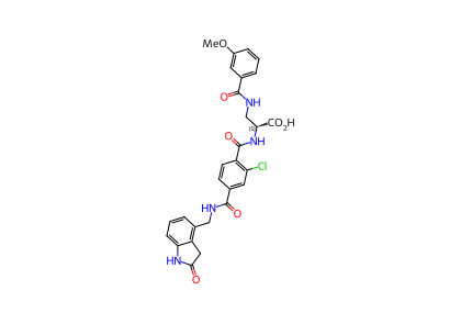 COc1cccc(C(=O)NC[C@H](NC(=O)c2ccc(C(=O)NCc3cccc4c3CC(=O)N4)cc2Cl)C(=O)O)c1